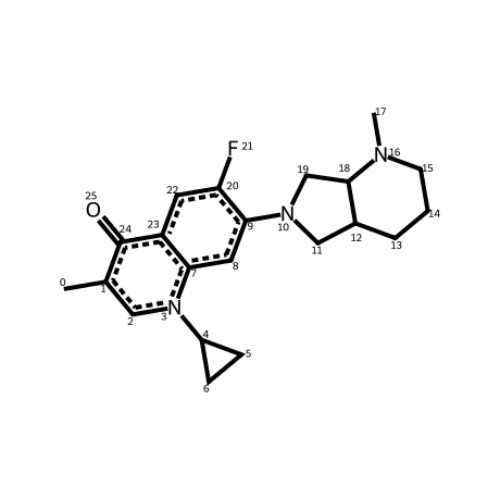 Cc1cn(C2CC2)c2cc(N3CC4CCCN(C)C4C3)c(F)cc2c1=O